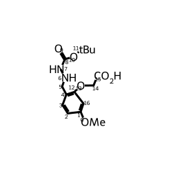 COc1ccc(CNNC(=O)OC(C)(C)C)c(OCC(=O)O)c1